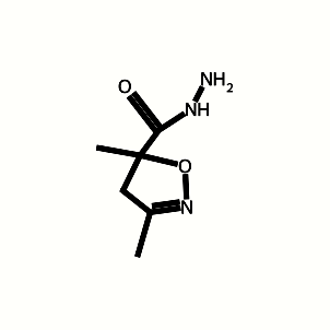 CC1=NOC(C)(C(=O)NN)C1